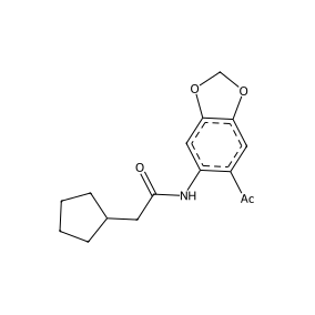 CC(=O)c1cc2c(cc1NC(=O)CC1CCCC1)OCO2